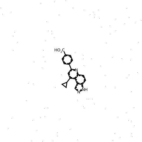 O=C(O)c1ccc(-c2cc(C3CC3)c3c(ccc4[nH]ncc43)n2)cc1